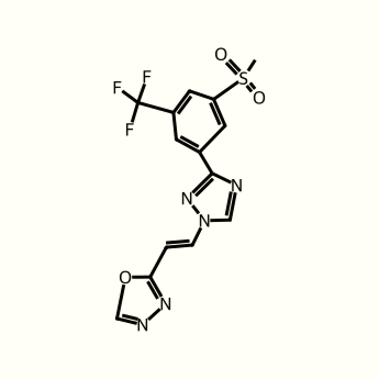 CS(=O)(=O)c1cc(-c2ncn(C=Cc3nnco3)n2)cc(C(F)(F)F)c1